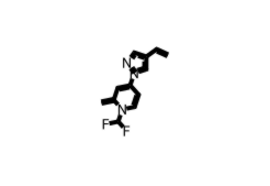 C=Cc1cnn(C2=CC(=C)N(C(F)F)C=C2)c1